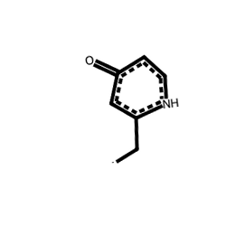 [CH2]Cc1cc(=O)cc[nH]1